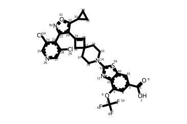 O=C(O)c1cc(OC(F)(F)F)c2nc(N3CCC4(C=C(c5c(-c6c(Cl)cncc6Cl)noc5C5CC5)C4)CC3)sc2c1